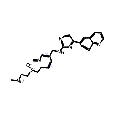 C=N/C=C(\C=C/CC[S+]([O-])CCNC)CNc1nccc(-c2ccc3ncccc3c2)n1